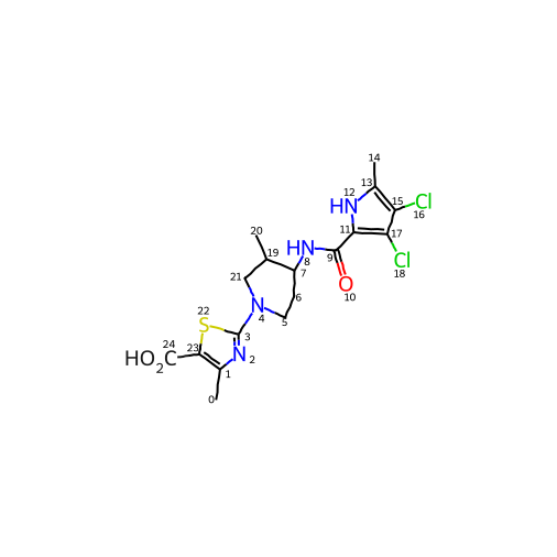 Cc1nc(N2CCC(NC(=O)c3[nH]c(C)c(Cl)c3Cl)C(C)C2)sc1C(=O)O